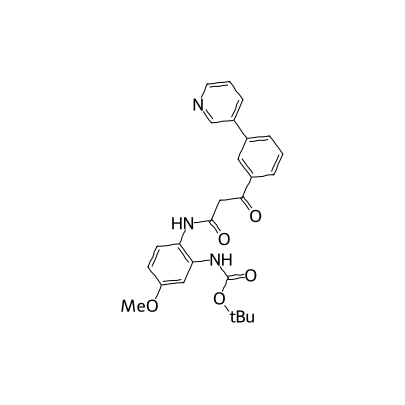 COc1ccc(NC(=O)CC(=O)c2cccc(-c3cccnc3)c2)c(NC(=O)OC(C)(C)C)c1